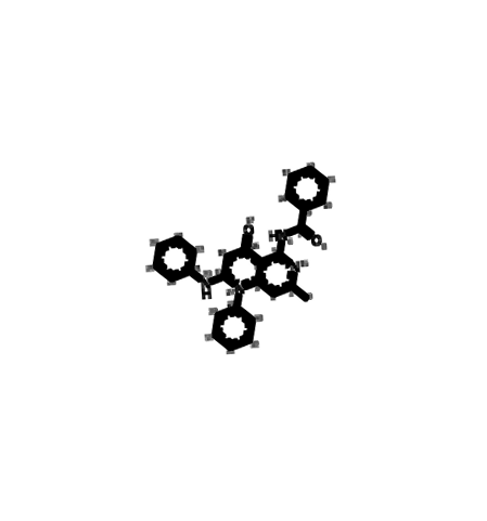 Cc1cc2c(c(NC(=O)c3ccccc3)n1)c(=O)cc(Nc1ccccc1)n2-c1ccccc1